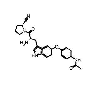 CC(=O)NC1C=CC(OC2C=c3c(C[C@H](N)C(=O)N4CCC[C@H]4C#N)c[nH]c3=CC2)=CC1